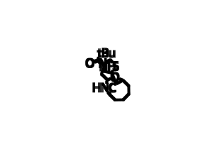 CC(C)(C)C(=O)NCC1NC2CCCCC(O1)C(C1CN=CS1)C2